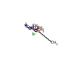 CCCCCCCCCCCCCCOc1ccc(CN(C(=O)CC)c2ccc(C[n+]3ccsc3)cc2)cc1C(C)(C)C.[Br-]